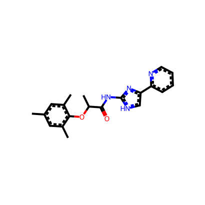 Cc1cc(C)c(OC(C)C(=O)Nc2nc(-c3ccccn3)c[nH]2)c(C)c1